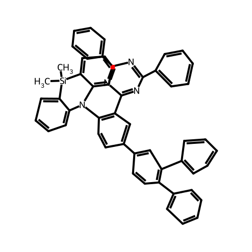 C[Si]1(C)c2ccccc2N(c2ccc(-c3ccc(-c4ccccc4)c(-c4ccccc4)c3)cc2-c2nc(-c3ccccc3)nc(-c3ccccc3)n2)c2ccccc21